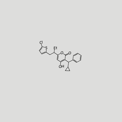 CCC(Cc1ccc(Cl)s1)c1cc(O)c(C(c2ccccc2)C2CC2)c(=O)o1